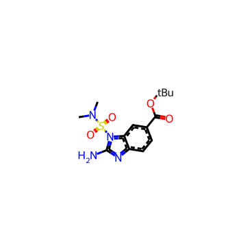 CN(C)S(=O)(=O)n1c(N)nc2ccc(C(=O)OC(C)(C)C)cc21